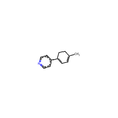 CC1=CC=C(c2ccncc2)CC1